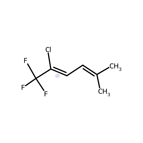 CC(C)=C/C=C(\Cl)C(F)(F)F